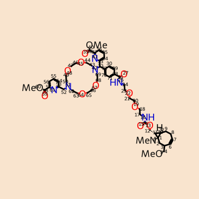 CN[C@]12CC(COC)C#CCC[C@H]1[C@H]2COC(=O)NCCOCCOCCNC(=O)c1ccc(C(c2cccc(C(=O)OC)n2)N2CCOCCOCCN(Cc3cccc(C(=O)OC)n3)CCOCCOCC2)cc1